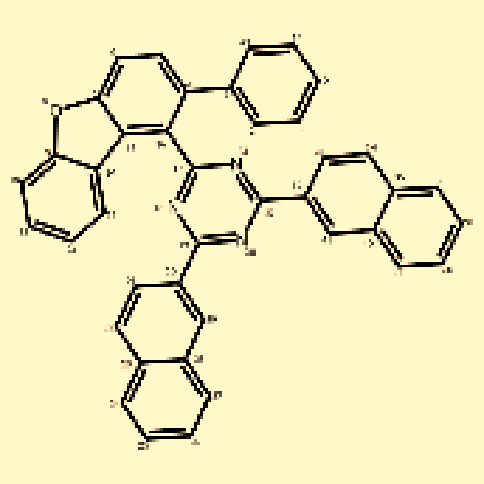 c1ccc(-c2ccc3oc4ccccc4c3c2-c2nc(-c3ccc4ccccc4c3)nc(-c3ccc4ccccc4c3)n2)cc1